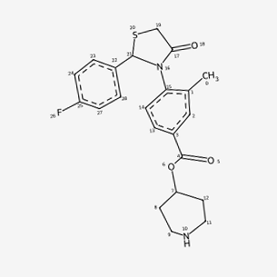 Cc1cc(C(=O)OC2CCNCC2)ccc1N1C(=O)CSC1c1ccc(F)cc1